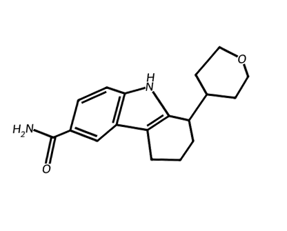 NC(=O)c1ccc2[nH]c3c(c2c1)CCCC3C1CCOCC1